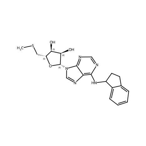 CSC[C@H]1O[C@@H](n2cnc3c(NC4CCc5ccccc54)ncnc32)[C@H](O)[C@@H]1O